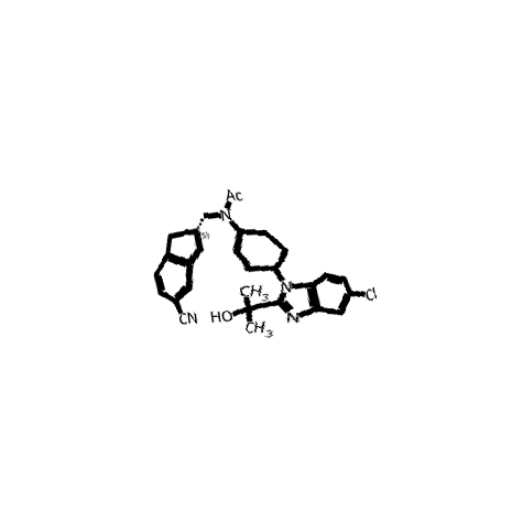 CC(=O)N(C[C@H]1Cc2ccc(C#N)cc2C1)C1CCC(n2c(C(C)(C)O)nc3cc(Cl)ccc32)CC1